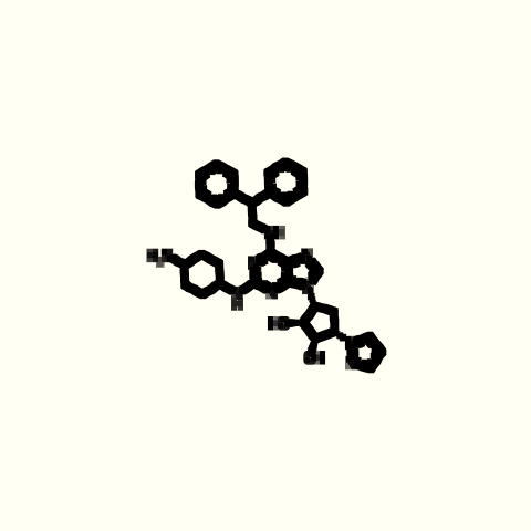 NC1CCC(Nc2nc(NCC(c3ccccc3)c3ccccc3)c3ncn([C@@H]4C[C@H](n5cccn5)[C@@H](O)[C@H]4O)c3n2)CC1